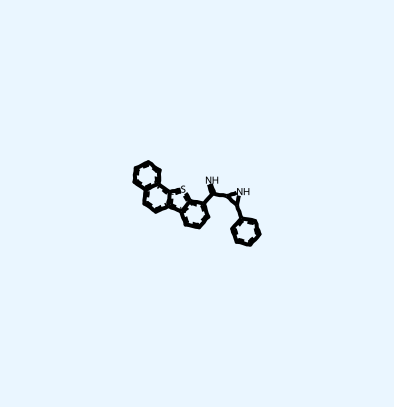 N=C(c1cccc2c1sc1c3ccccc3ccc21)C1NC1c1ccccc1